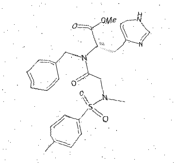 COC(=O)[C@H](Cc1c[nH]cn1)N(Cc1ccccc1)C(=O)CN(C)S(=O)(=O)c1ccc(C)cc1